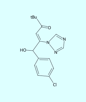 CC(C)(C)C(=O)C=C(C(O)c1ccc(Cl)cc1)n1cncn1